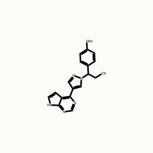 CSc1ccc(C(CC#N)n2cc(-c3ncnc4[nH]ccc34)cn2)cc1